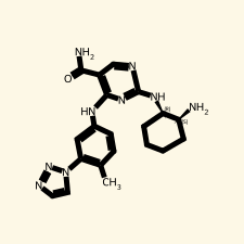 Cc1ccc(Nc2nc(N[C@@H]3CCCC[C@@H]3N)ncc2C(N)=O)cc1-n1ccnn1